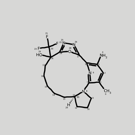 Cc1cc(N)c2nc1N1CCC[C@H]1CCCCCC(O)(C(F)(F)F)c1nnc-2o1